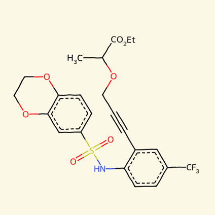 CCOC(=O)C(C)OCC#Cc1cc(C(F)(F)F)ccc1NS(=O)(=O)c1ccc2c(c1)OCCO2